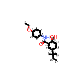 CCOc1ccc(NC(=O)c2cc(C(C)(C)CC)ccc2O)cc1